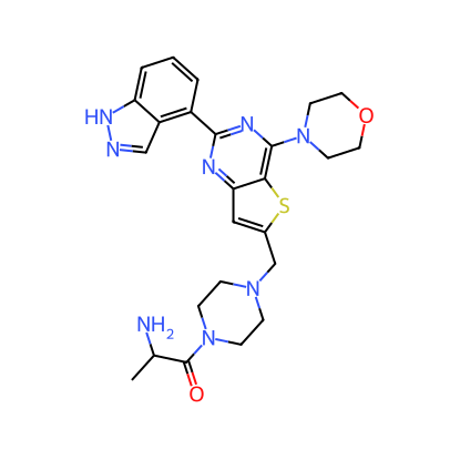 CC(N)C(=O)N1CCN(Cc2cc3nc(-c4cccc5[nH]ncc45)nc(N4CCOCC4)c3s2)CC1